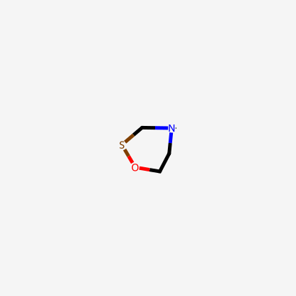 C1COSC[N]1